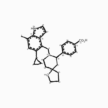 Cc1cc(C2CC2)c(CN2CCC3(CCCO3)CC2c2ccc(C(=O)O)cc2)c2cc[nH]c12